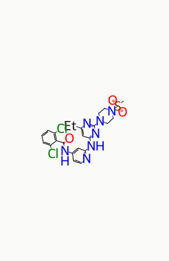 CCc1cc(Nc2cc(NC(=O)c3c(Cl)cccc3Cl)ccn2)nc(N2CCN(S(C)(=O)=O)CC2)n1